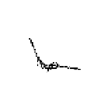 CCCCCCCCCCCCCCOc1ccc(Sc2ccc(OCCCCCCCCCCCCCC)cc2)cc1